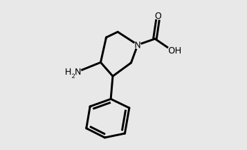 NC1CCN(C(=O)O)CC1c1ccccc1